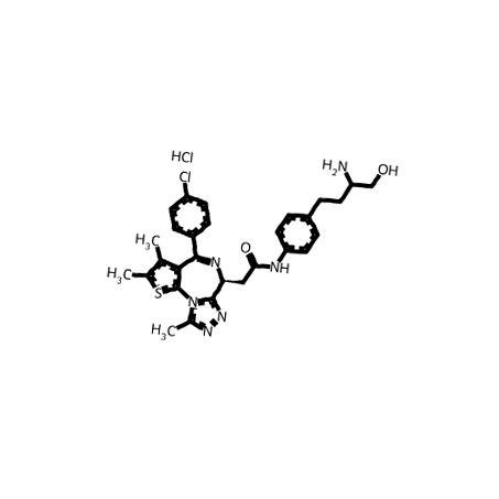 Cc1sc2c(c1C)C(c1ccc(Cl)cc1)=N[C@@H](CC(=O)Nc1ccc(CCC(N)CO)cc1)c1nnc(C)n1-2.Cl